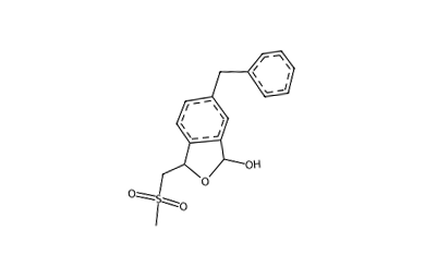 CS(=O)(=O)CC1OC(O)c2cc(Cc3ccccc3)ccc21